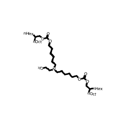 CCCCCCCCC(CCCCCC)COC(=O)OCCCCCCN(CCO)CCCCCCOC(=O)OCC(CCCCCC)CCCCCCCC